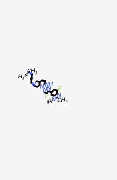 Cc1nc2c(F)cc(-c3nc(Nc4ccc5c(n4)CCN(CC#CCN(C)C)C5)ncc3F)cc2n1C(C)C